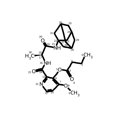 CCCC(=O)Oc1c(OC)ccnc1C(=O)N[C@@H](C)C(=O)NC12CC3CC(CC(C3)C1)C2